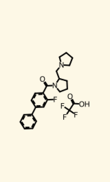 O=C(O)C(F)(F)F.O=C(c1ccc(-c2ccccc2)cc1F)N1CCCC1CN1CCCC1